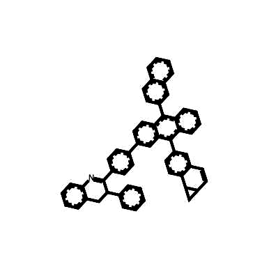 C1=CC2CC2c2ccc(-c3c4ccccc4c(-c4ccc5ccccc5c4)c4ccc(-c5ccc(C6=Nc7ccccc7CC6c6ccccc6)cc5)cc34)cc21